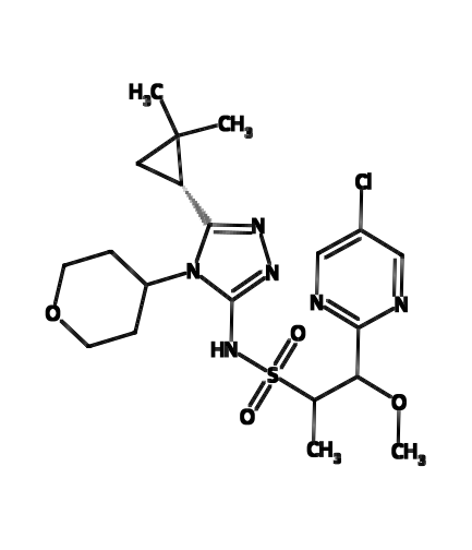 COC(c1ncc(Cl)cn1)C(C)S(=O)(=O)Nc1nnc([C@@H]2CC2(C)C)n1C1CCOCC1